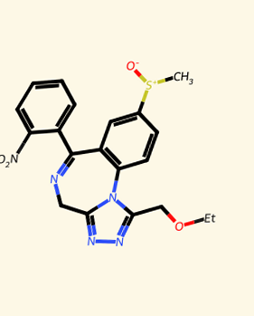 CCOCc1nnc2n1-c1ccc([S+](C)[O-])cc1C(c1ccccc1[N+](=O)[O-])=NC2